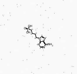 Nc1ncnc2c1ncn2CCCCP(=O)(O)O